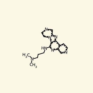 CN(C)CCCNc1nc2cnccc2c2nc3cnccn3c12